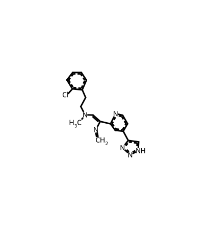 C=N/C(=C\N(C)CCc1ccccc1Cl)c1cc(-c2c[nH]nn2)ccn1